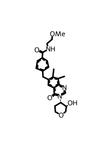 COCCNC(=O)c1ccc(Cc2cc3c(=O)n([C@H]4CCOC[C@@H]4O)cnc3c(C)c2C)cc1